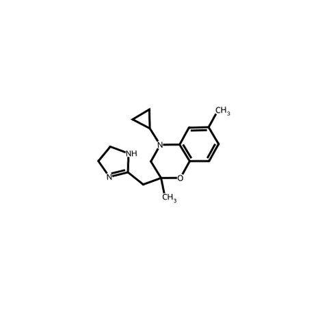 Cc1ccc2c(c1)N(C1CC1)CC(C)(CC1=NCCN1)O2